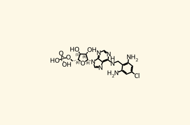 Nc1cc(Cl)cc(N)c1CNc1ncnc2c1ncn2[C@@H]1O[C@H](COP(=O)(O)O)[C@@H](O)[C@H]1O